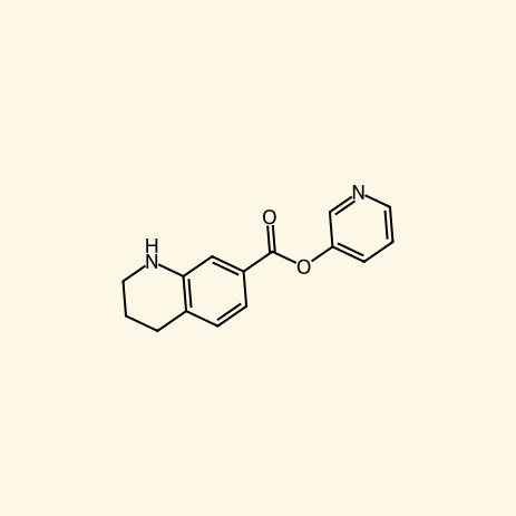 O=C(Oc1cccnc1)c1ccc2c(c1)NCCC2